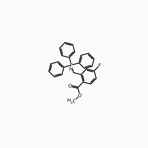 COC(=O)c1ccc(F)cc1C[PH](c1ccccc1)(c1ccccc1)c1ccccc1